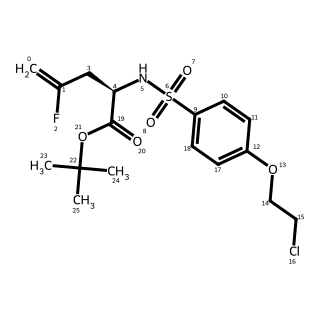 C=C(F)C[C@@H](NS(=O)(=O)c1ccc(OCCCl)cc1)C(=O)OC(C)(C)C